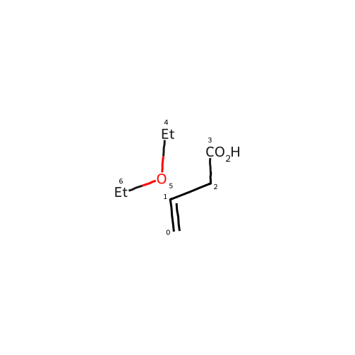 C=CCC(=O)O.CCOCC